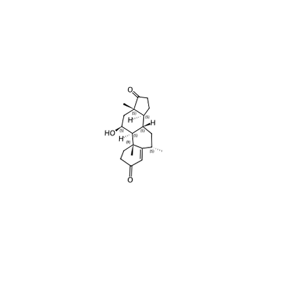 C[C@H]1C[C@@H]2[C@H]([C@@H](O)C[C@]3(C)C(=O)CC[C@@H]23)[C@@]2(C)CCC(=O)C=C12